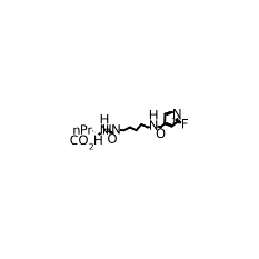 CCC[C@H](NC(=O)NCCCCCNC(=O)c1ccnc([18F])c1)C(=O)O